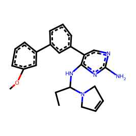 CCC(Nc1nc(N)ncc1-c1cccc(-c2cccc(OC)c2)c1)N1CC=CC1